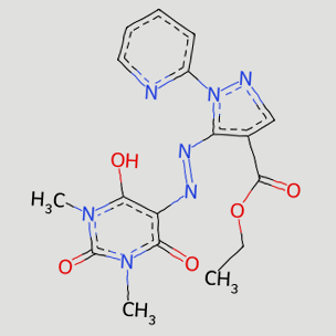 CCOC(=O)c1cnn(-c2ccccn2)c1N=Nc1c(O)n(C)c(=O)n(C)c1=O